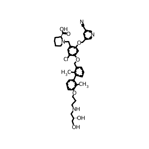 Cc1c(COc2cc(OCc3cncc(C#N)c3)c(CN3CCCC[C@H]3C(=O)O)cc2Cl)cccc1-c1cccc(OCCCNC[C@H](O)CO)c1C